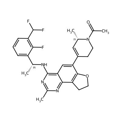 CC(=O)N1CCC(c2cc3c(N[C@H](C)c4cccc(C(F)F)c4F)nc(C)nc3c3c2OCC3)=C[C@@H]1C